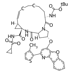 Cc1ccsc1-c1cc(O[C@@H]2C[C@H]3C(=O)N[C@]4(C(=O)NS(=O)(=O)C5CC5)C[C@H]4/C=C\CCCCC[C@H](NC(=O)OC(C)(C)C)C(=O)N3C2)c2oc3ccccc3c2n1